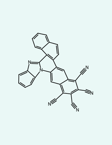 N#Cc1c(C#N)c(C#N)c2cc3c(cc2c1C#N)c1ccc2ccccc2c1c1nc2ccccc2n31